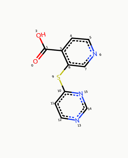 O=C(O)c1ccncc1Sc1ccncn1